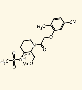 COC[C@H]1[C@@H](NS(C)(=O)=O)CCCN1C(=O)COc1cc(C#N)ccc1C